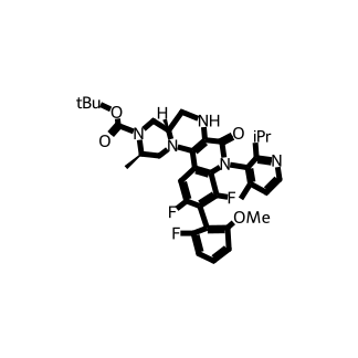 COc1cccc(F)c1-c1c(F)cc2c3c(c(=O)n(-c4c(C)ccnc4C(C)C)c2c1F)NC[C@H]1CN(C(=O)OC(C)(C)C)[C@H](C)CN31